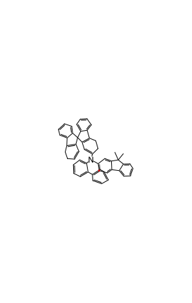 CC1(C)c2ccccc2-c2ccc(N(C3=CC4=C(CC3)c3ccccc3C43C4=C(CCC=C4)c4ccccc43)c3ccccc3-c3ccccc3)cc21